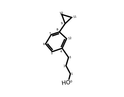 OCCCc1cccc(C2CC2)c1